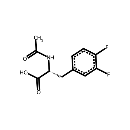 CC(=O)N[C@H](Cc1ccc(F)c(F)c1)C(=O)O